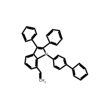 C=Cc1cccc2c(-c3ccccc3)c(-c3ccccc3)n(-c3ccc(-c4ccccc4)cc3)c12